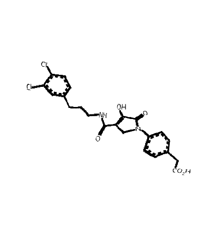 O=C(O)Cc1ccc(N2CC(C(=O)NCCCc3ccc(Cl)c(Cl)c3)=C(O)C2=O)cc1